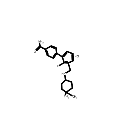 CC1(C)CCC(NCc2cccc(-c3ccc(C(N)=O)cc3)c2F)CC1.Cl